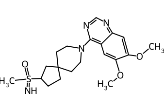 COc1cc2ncnc(N3CCC4(CCC(S(C)(=N)=O)C4)CC3)c2cc1OC